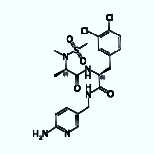 C[C@H](C(=O)N[C@@H](Cc1ccc(Cl)c(Cl)c1)C(=O)NCc1ccc(N)nc1)N(C)S(C)(=O)=O